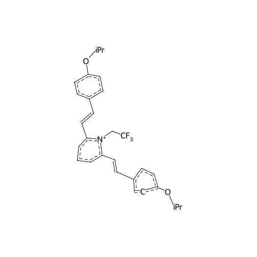 CC(C)Oc1ccc(/C=C/c2cccc(/C=C/c3ccc(OC(C)C)cc3)[n+]2CC(F)(F)F)cc1